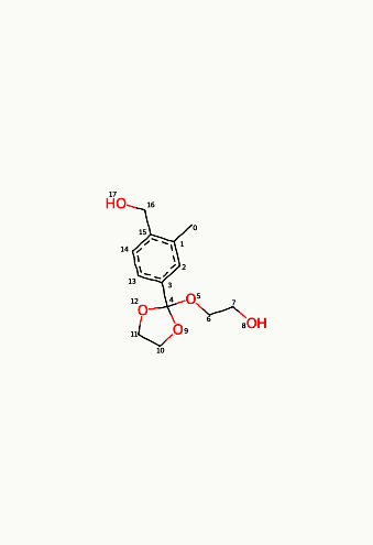 Cc1cc(C2(OCCO)OCCO2)ccc1CO